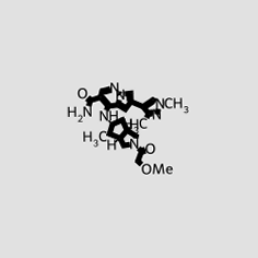 COCC(=O)N1C[C@H]2C[C@@H](Nc3c(C(N)=O)cnn4cc(-c5cn(C)nc5C)cc34)[C@@H](C)[C@@H]2C1